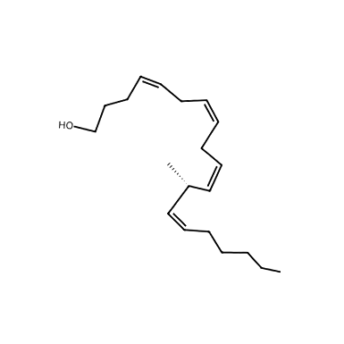 CCCCC/C=C\[C@H](C)/C=C\C/C=C\C/C=C\CCCO